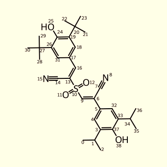 CC(C)c1cc(C(C#N)=CS(=O)(=O)C(C#N)=Cc2cc(C(C)(C)C)c(O)c(C(C)(C)C)c2)cc(C(C)C)c1O